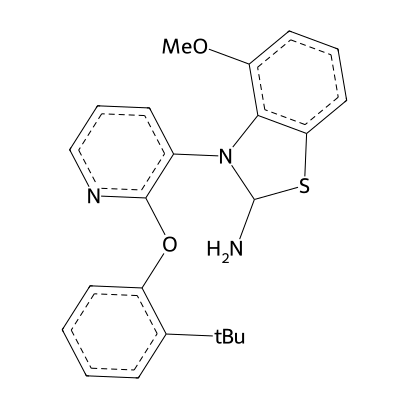 COc1cccc2c1N(c1cccnc1Oc1ccccc1C(C)(C)C)C(N)S2